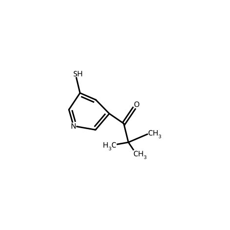 CC(C)(C)C(=O)c1cncc(S)c1